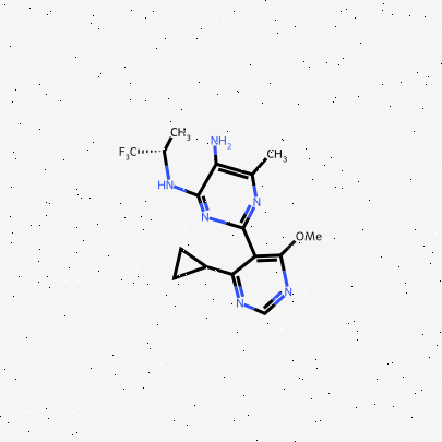 COc1ncnc(C2CC2)c1-c1nc(C)c(N)c(N[C@@H](C)C(F)(F)F)n1